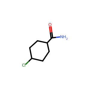 NC(=O)C1CCC(Cl)CC1